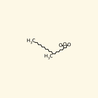 CCCCCCCCCCCC(C)CCCCCC1CC(=O)OC1=O